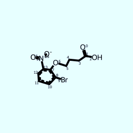 O=C(O)CCCOc1c(Br)cccc1[N+](=O)[O-]